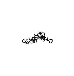 CC1=C2C[C@H]3[C@@H](CCC4=CN(C)C(=O)CC[C@@]43C)[C@@H]2CC[C@@]2(C1)O[C@@H]1C[C@H](C)CN(C(=O)OCc3ccccc3)[C@H]1[C@H]2C